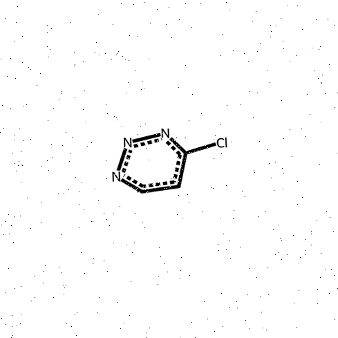 Clc1c[c]nnn1